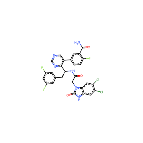 NC(=O)c1cc(-c2cncnc2[C@H](Cc2cc(F)cc(F)c2)NC(=O)Cn2c(=O)[nH]c3cc(Cl)c(Cl)cc32)ccc1F